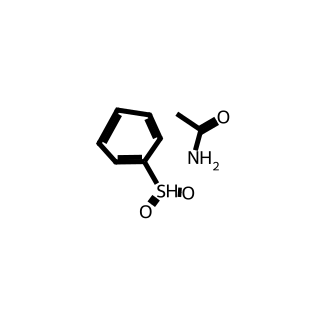 CC(N)=O.O=[SH](=O)c1ccccc1